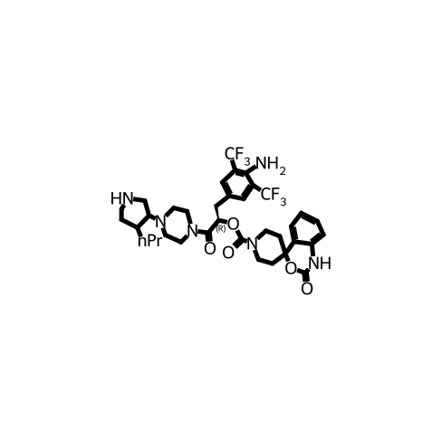 CCCC1CCNCC1N1CCN(C(=O)[C@@H](Cc2cc(C(F)(F)F)c(N)c(C(F)(F)F)c2)OC(=O)N2CCC3(CC2)OC(=O)Nc2ccccc23)CC1